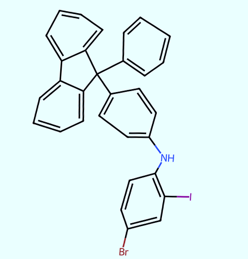 Brc1ccc(Nc2ccc(C3(c4ccccc4)c4ccccc4-c4ccccc43)cc2)c(I)c1